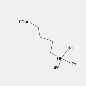 CCCCCCCCCCCCC[PH](C(C)C)(C(C)C)C(C)C